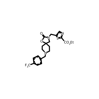 CCOC(=O)c1ncc(CN2CC3(CCN(Cc4ccc(C(F)(F)F)cc4)CC3)OC2=O)s1